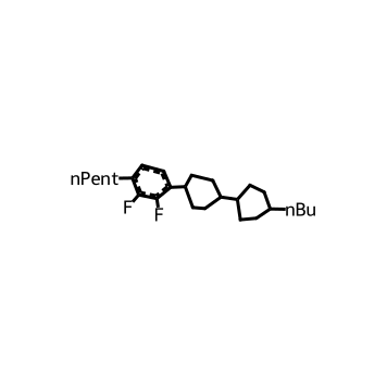 CCCCCc1ccc(C2CCC(C3CCC(CCCC)CC3)CC2)c(F)c1F